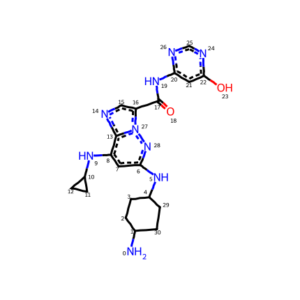 NC1CCC(Nc2cc(NC3CC3)c3ncc(C(=O)Nc4cc(O)ncn4)n3n2)CC1